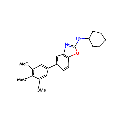 COc1cc(-c2ccc3oc(NC4CCCCC4)nc3c2)cc(OC)c1OC